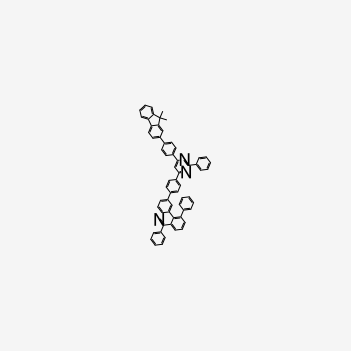 CC1(C)c2ccccc2-c2ccc(-c3ccc(-c4cc(-c5ccc(-c6ccc7nc(-c8ccccc8)c8cccc(-c9ccccc9)c8c7c6)cc5)nc(-c5ccccc5)n4)cc3)cc21